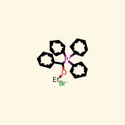 CCOC(c1ccccc1)[P+](c1ccccc1)(c1ccccc1)c1ccccc1.[Br-]